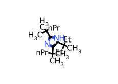 CCCC(C)(C)c1nc(C(C)(C)CCC)c(C(C)(CC)CC)[nH]1